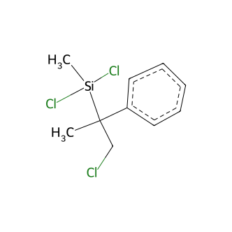 CC(CCl)(c1ccccc1)[Si](C)(Cl)Cl